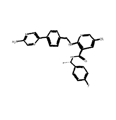 C[C@H](NC(=O)c1cc(C#N)cnc1NCc1ccc(-c2cnc(N)cn2)cc1)c1ccc(F)cc1